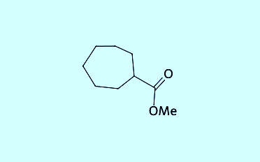 [CH2]OC(=O)C1CCCCCC1